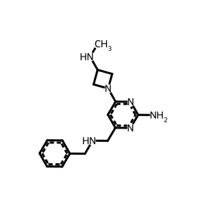 CNC1CN(c2cc(CNCc3ccccc3)nc(N)n2)C1